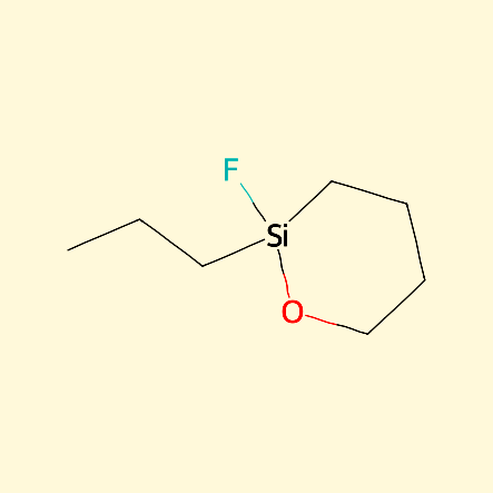 CCC[Si]1(F)CCCCO1